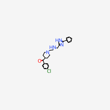 O=C(c1ccc(Cl)cc1)C1CCN(CCNCc2c[nH]c(-c3ccccc3)n2)CC1